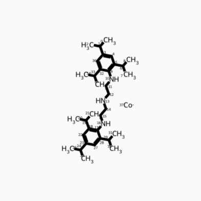 CC(C)c1cc(C(C)C)c(NCCNCCNc2c(C(C)C)cc(C(C)C)cc2C(C)C)c(C(C)C)c1.[Co]